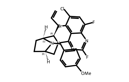 C=CC[C@@H]1[C@@H]2CC[C@H](CN1c1nc(F)nc3c(F)cc(Cl)c(Br)c13)N2Cc1ccc(OC)cc1